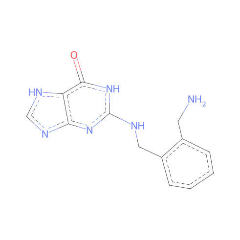 NCc1ccccc1CNc1nc2nc[nH]c2c(=O)[nH]1